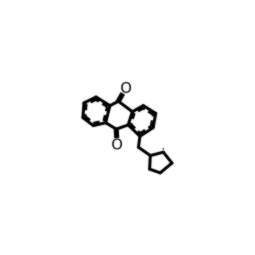 O=C1c2ccccc2C(=O)c2c(CC3[CH]CCC3)cccc21